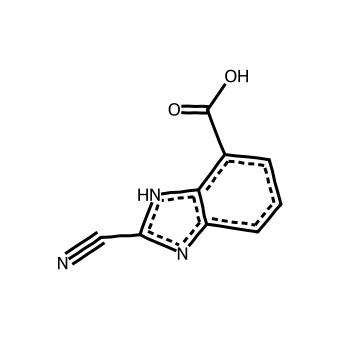 N#Cc1nc2cccc(C(=O)O)c2[nH]1